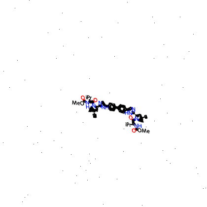 C#C[C@@]12CC1N(C(=O)[C@@H](NC(=O)OC)C(C)C)[C@H](c1ncc(-c3ccc(-c4ccc(-c5cnc([C@@H]6C[C@]7(C#C)CC7N6C(=O)[C@@H](NC(=O)OC)C(C)C)[nH]5)cc4)cc3)[nH]1)C2